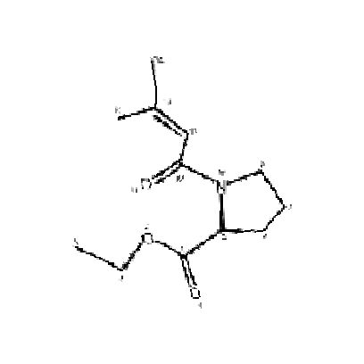 CCOC(=O)C1CCCN1C(=O)C=C(C)C